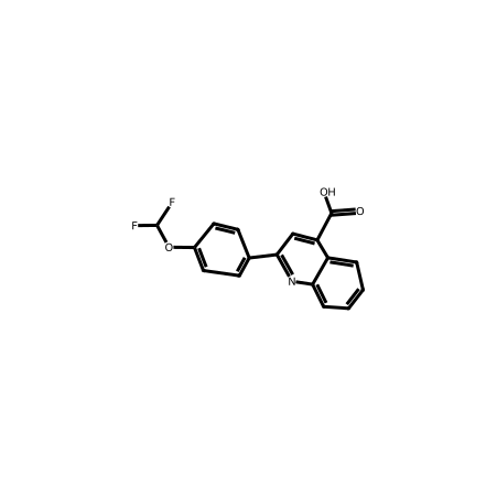 O=C(O)c1cc(-c2ccc(OC(F)F)cc2)nc2ccccc12